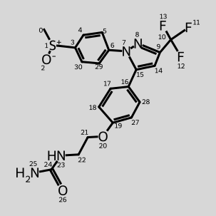 C[S+]([O-])c1ccc(-n2nc(C(F)(F)F)cc2-c2ccc(OCCNC(N)=O)cc2)cc1